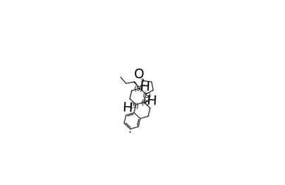 CCC[C@]12CC[C@@H]3c4cc[c]cc4CC[C@H]3[C@@H]1CCC2=O